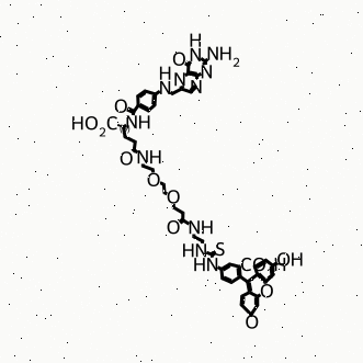 Nc1nc2ncc(CNc3ccc(C(=O)N[C@@H](CCC(=O)NCCOCCOCCC(=O)NCCNC(=S)Nc4ccc(-c5c6ccc(=O)cc-6oc6cc(O)ccc56)c(C(=O)O)c4)C(=O)O)cc3)nc2c(=O)[nH]1